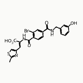 Cc1nc(C=C(NC(=O)c2ccc(C(=O)NCc3cccc(O)c3)cc2Br)C(=O)O)cs1